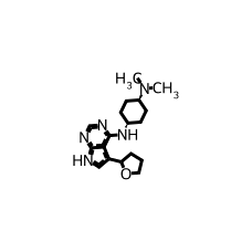 CN(C)[C@H]1CC[C@H](Nc2ncnc3[nH]cc(C4CCCO4)c23)CC1